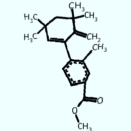 C=C1C(c2ccc(C(=O)OC)cc2C)=CC(C)(C)CC1(C)C